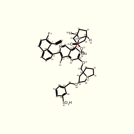 C#Cc1c(F)ccc2cccc(-c3ncc4c(N5C[C@H]6CC[C@@H](C5)N6C(=O)OC(C)(C)C)nc(OC[C@@]56CCCN5C[C@@H](OCc5cccc(S(=O)(=O)O)c5)C6)nc4c3F)c12